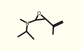 C=C(C)C1OC1N(C)C(C)C